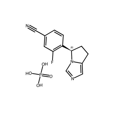 N#Cc1ccc([C@H]2CCc3cncn32)c(F)c1.O=P(O)(O)O